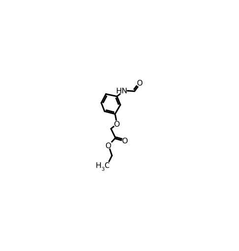 CCOC(=O)COc1cccc(NC=O)c1